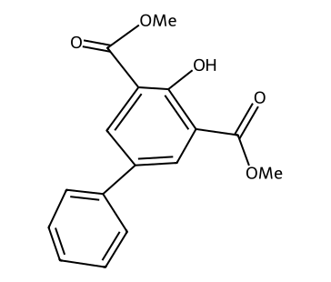 COC(=O)c1cc(-c2ccccc2)cc(C(=O)OC)c1O